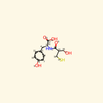 O=C(N[C@@H](Cc1ccc(O)cc1)C(=O)O)C(CO)CS